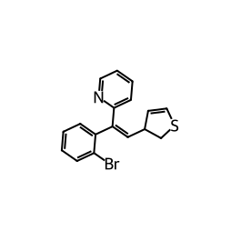 Brc1ccccc1C(=CC1C=CSC1)c1ccccn1